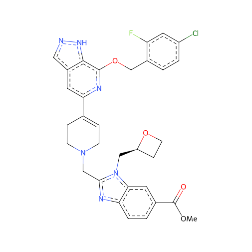 COC(=O)c1ccc2nc(CN3CC=C(c4cc5cn[nH]c5c(OCc5ccc(Cl)cc5F)n4)CC3)n(C[C@@H]3CCO3)c2c1